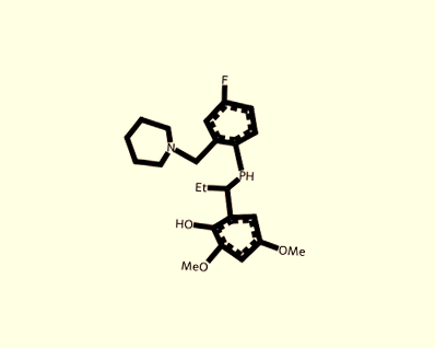 CCC(Pc1ccc(F)cc1CN1CCCCC1)c1cc(OC)cc(OC)c1O